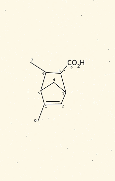 CC1=CC2CC1C(C)C2C(=O)O